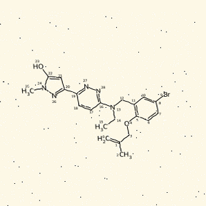 C=C(C)COc1ccc(Br)cc1CN(CC)c1ccc(-c2cc(O)n(C)n2)nn1